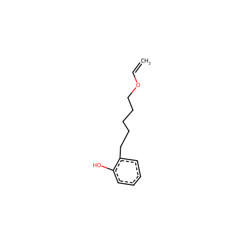 C=COCCCCCc1ccccc1O